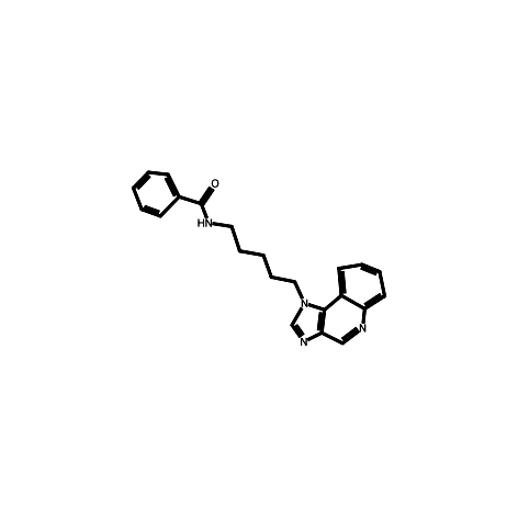 O=C(NCCCCCn1cnc2cnc3ccccc3c21)c1ccccc1